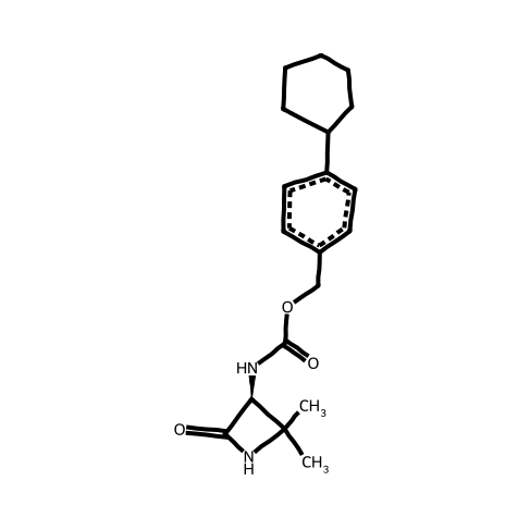 CC1(C)NC(=O)[C@H]1NC(=O)OCc1ccc(C2CCCCC2)cc1